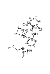 C=C(NCCC)Nc1ccc2c(c1)C1C3CCC(C3)C1C(c1c(Cl)cccc1Cl)N2